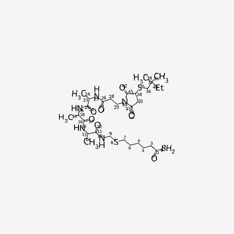 BC(=O)CCCCCSCNC(=O)C(C)NC(=O)C(C)NC(=O)C(C)NC(=O)CCN1C(=O)CC(SCC(C)(C)CC)C1=O